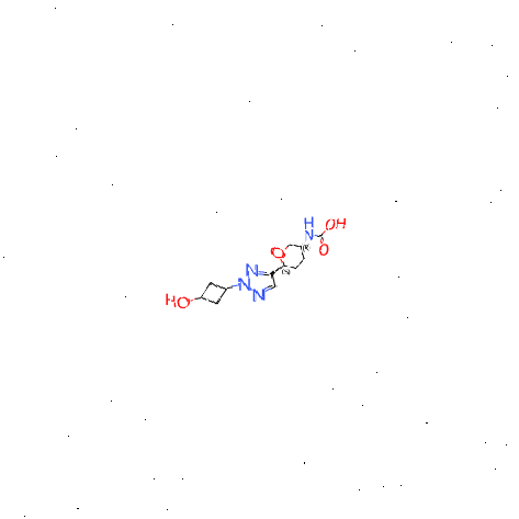 O=C(O)N[C@@H]1CC[C@@H](c2cnn(C3CC(O)C3)n2)OC1